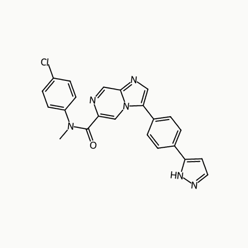 CN(C(=O)c1cn2c(-c3ccc(-c4ccn[nH]4)cc3)cnc2cn1)c1ccc(Cl)cc1